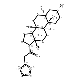 C[C@]12CC[C@@H](O)C[C@@H]1CC[C@@H]1[C@@H]2CC[C@]2(C)[C@@H](C(=O)Cc3ncc[nH]3)CC[C@@H]12